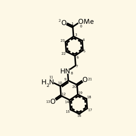 COC(=O)c1ccc(CNC2=C(N)C(=O)c3ccccc3C2=O)cc1